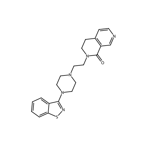 O=C1c2cnccc2CCN1CCN1CCN(c2nsc3ccccc23)CC1